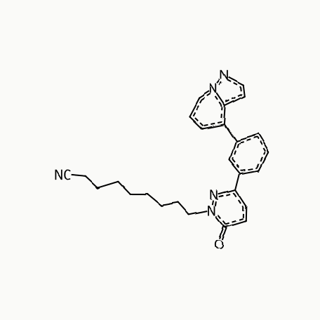 N#CCCCCCCCCn1nc(-c2cccc(-c3cccn4nccc34)c2)ccc1=O